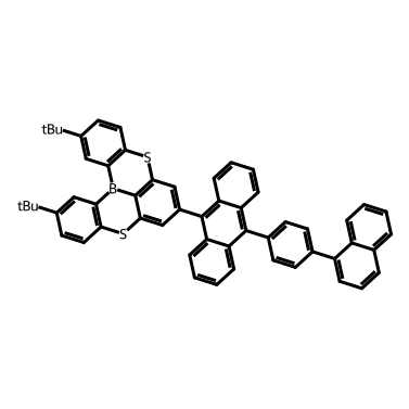 CC(C)(C)c1ccc2c(c1)B1c3cc(C(C)(C)C)ccc3Sc3cc(-c4c5ccccc5c(-c5ccc(-c6cccc7ccccc67)cc5)c5ccccc45)cc(c31)S2